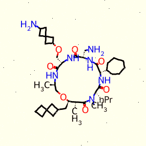 CCC[C@H]1C(=O)N[C@@H](C2CCCCCC2)C(=O)N[C@@H](CN)C(=O)N[C@@H](COC2CC3(CC(N)C3)C2)C(=O)N[C@H](C)CO[C@H](CC2CC3(CCC3)C2)[C@@H](C)C(=O)N1C